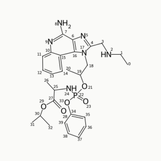 CCNCc1nc2c(N)nc3ccccc3c2n1CC(C)OP(=O)(NC(C)C(=O)OC(C)C)Oc1ccccc1